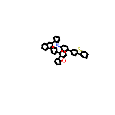 c1ccc(N(c2ccc(-c3ccc4c(c3)sc3ccccc34)cc2)c2ccccc2-c2cccc3oc4ccccc4c23)c(-c2ccc3ccccc3c2)c1